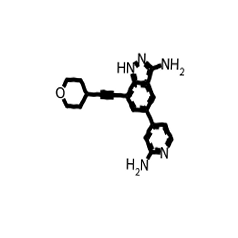 Nc1cc(-c2cc(C#CC3CCOCC3)c3[nH]nc(N)c3c2)ccn1